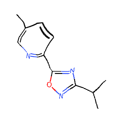 Cc1ccc(-c2nc(C(C)C)no2)nc1